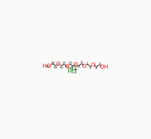 Cl.Cl.OCCOCCOCCOCCOCCOCCO